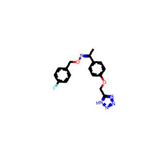 CC(=NOCc1ccc(F)cc1)c1ccc(OCc2nnn[nH]2)cc1